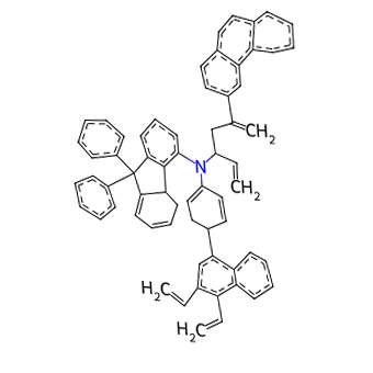 C=Cc1cc(C2C=CC(N(c3cccc4c3C3CC=CC=C3C4(c3ccccc3)c3ccccc3)C(C=C)CC(=C)c3ccc4ccc5ccccc5c4c3)=CC2)c2ccccc2c1C=C